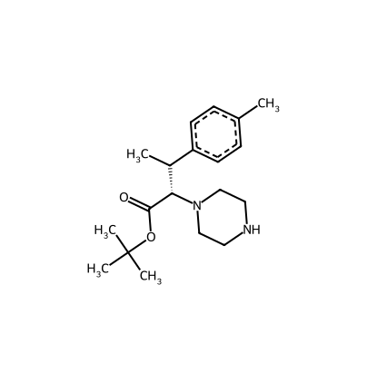 Cc1ccc(C(C)[C@@H](C(=O)OC(C)(C)C)N2CCNCC2)cc1